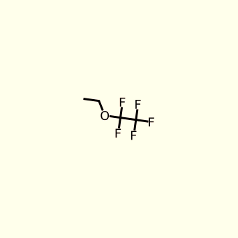 CCOC(F)(F)C(F)(F)F